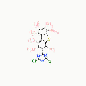 Bc1c(B)c(B)c2c(sc3c(B)c(-c4nc(Cl)nc(Cl)n4)c(B)c(B)c32)c1B